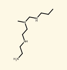 CCCNCN(C)CCNCCN